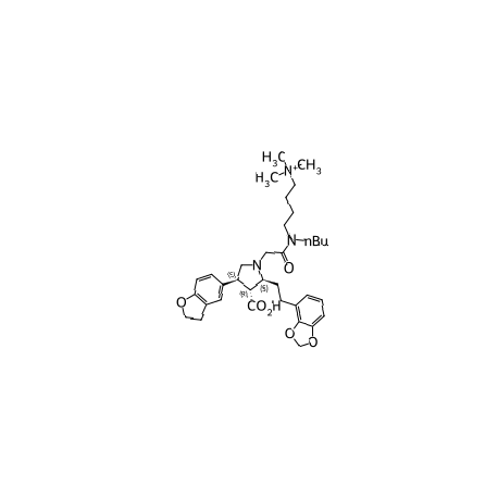 CCCCN(CCCC[N+](C)(C)C)C(=O)CN1C[C@H](c2ccc3c(c2)CCO3)[C@@H](C(=O)O)[C@@H]1CCc1cccc2c1OCO2